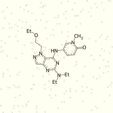 CCOCCn1ncc2nc(N(CC)CC)nc(Nc3ccc(=O)n(C)c3)c21